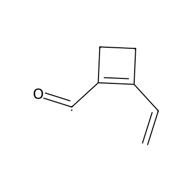 C=CC1=C([C]=O)CC1